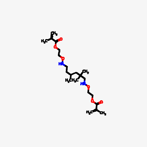 C=C(C)C(=O)OCCONCCC(C)CC(C)(C)CNOCCOC(=O)C(=C)C